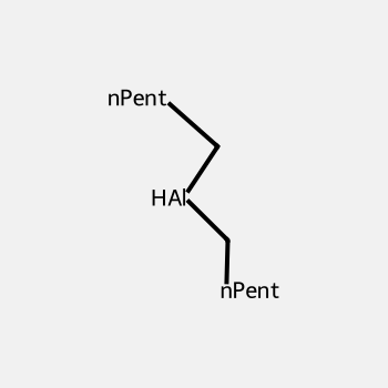 CCCCC[CH2][AlH][CH2]CCCCC